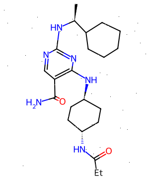 CCC(=O)N[C@H]1CC[C@H](Nc2nc(N[C@@H](C)C3CCCCC3)ncc2C(N)=O)CC1